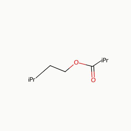 CC(C)CCOC(=O)C(C)C